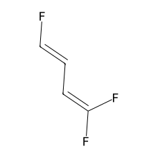 FC=CC=C(F)F